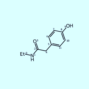 [CH2]CNC(=O)Cc1ccc(O)cc1